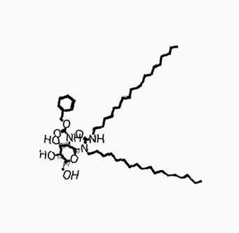 CCCCCCCCCCCCCCCCCCNC(=O)N(CCCCCCCCCCCCCCCCCC)[C@@H]1O[C@H](CO)[C@@H](O)[C@H](O)[C@H]1NC(=O)OCc1ccccc1